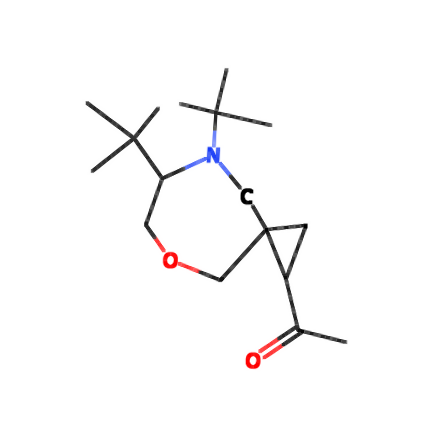 CC(=O)C1CC12COCC(C(C)(C)C)N(C(C)(C)C)C2